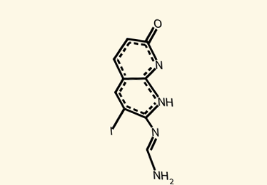 N/C=N/c1[nH]c2nc(=O)ccc-2cc1I